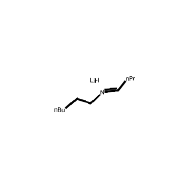 [CH2]CCC=NCCCCCC.[LiH]